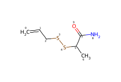 C=CCSSC(C)C(N)=O